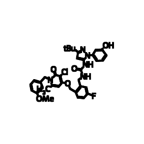 COc1cccc(Cn2c(C)cc(OCc3ccc(F)cc3CNC(=O)Nc3cc(C(C)(C)C)nn3-c3cccc(O)c3)c(Cl)c2=O)c1